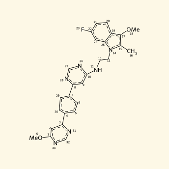 COc1cc(-c2ccc(-c3cc(NCCn4c(C)c(OC)c5ccc(F)cc54)ncn3)cc2)ncn1